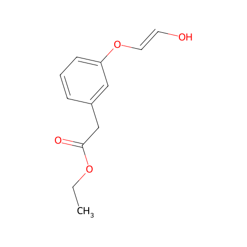 CCOC(=O)Cc1cccc(OC=CO)c1